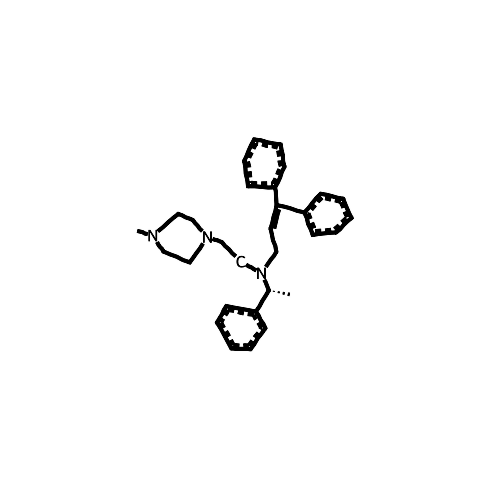 C[C@H](c1ccccc1)N(CC=C(c1ccccc1)c1ccccc1)CCN1CCN(C)CC1